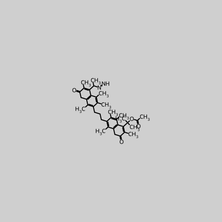 CC(=O)OC(C)(C)C1=C(C)C(=O)Cc2c(C)c(CCCc3c(C)c(C)c4c(c3C)CC(=O)C(C)=C4C(C)N=N)c(C)c(C)c21